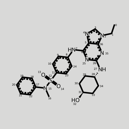 CCn1cnc2c(Nc3ccc(S(=O)(=O)N(C)c4ccccc4)cc3)nc(N[C@H]3CC[C@H](O)CC3)nc21